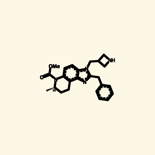 COC(=O)N1c2ccc3c(nc(Cc4ccccc4)n3CC3CNC3)c2CC[C@@H]1C